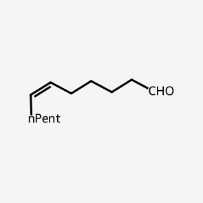 CCCCC/C=C\CCCCC=O